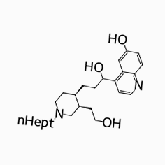 CCCCCCCN1CC[C@@H](CCC(O)c2ccnc3ccc(O)cc23)[C@@H](CCO)C1